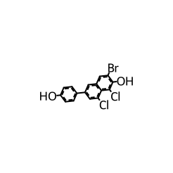 Oc1ccc(-c2cc(Cl)c3c(Cl)c(O)c(Br)cc3c2)cc1